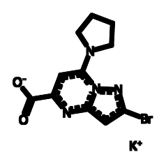 O=C([O-])c1cc(N2CCCC2)n2nc(Br)cc2n1.[K+]